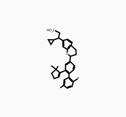 Cc1ccc(F)c(-c2ccc(C3CCc4ccc(C(CC(=O)O)C5CC5)cc4O3)cc2C2=CCCC2(C)C)c1